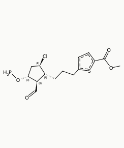 COC(=O)c1ccc(CCC[C@@H]2[C@@H](C=O)[C@H](OP)C[C@H]2Cl)s1